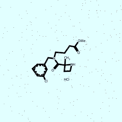 COC(=O)CCCN(Cc1cccc(Cl)c1)C(=O)C1(C)CCN1.Cl